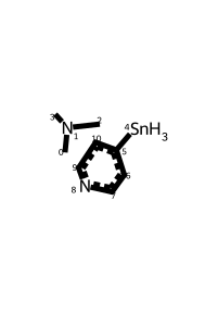 CN(C)C.[SnH3][c]1ccncc1